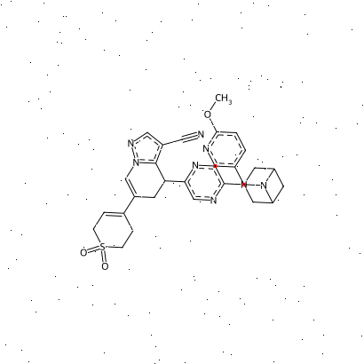 COc1ccc(CN2C3CC2CN(c2cnc(C4CC(C5=CCS(=O)(=O)CC5)=Cn5ncc(C#N)c54)cn2)C3)cn1